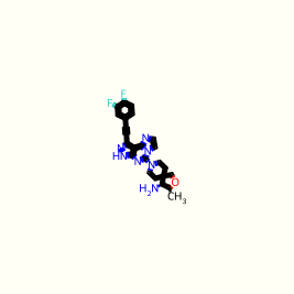 C[C@@H]1OCC2(CCN(c3nc4[nH]nc(C#Cc5ccc(F)c(F)c5)c4c4nccn34)CC2)[C@@H]1N